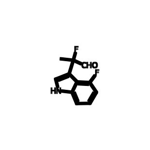 CC(F)(C=O)c1c[nH]c2cccc(F)c12